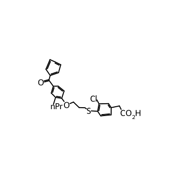 CCCc1cc(C(=O)c2ccccc2)ccc1OCCCSc1ccc(CC(=O)O)cc1Cl